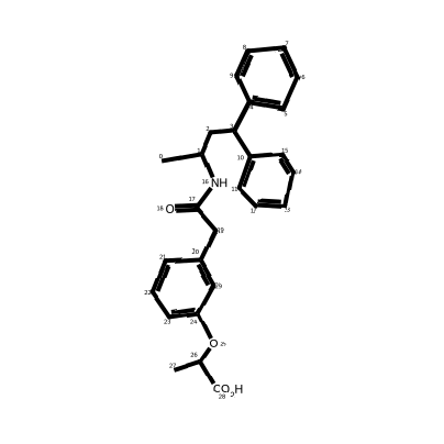 CC(CC(c1ccccc1)c1ccccc1)NC(=O)Cc1cccc(OC(C)C(=O)O)c1